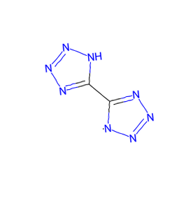 [N]1N=NN=C1c1nnn[nH]1